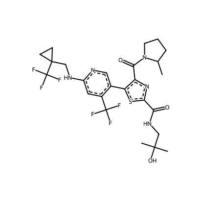 CC1CCCN1C(=O)c1nc(C(=O)NCC(C)(C)O)sc1-c1cnc(NCC2(C(F)(F)F)CC2)cc1C(F)(F)F